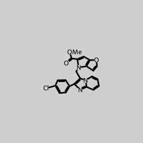 COC(=O)c1cc2occc2n1Cc1c(-c2ccc(Cl)cc2)nc2ccccn12